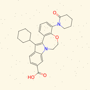 O=C(O)c1ccc2c(C3CCCCC3)c3n(c2c1)CCOc1c-3cccc1N1CCCCC1=O